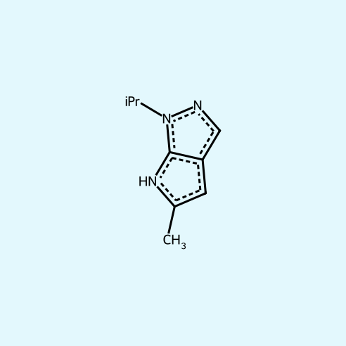 Cc1cc2cnn(C(C)C)c2[nH]1